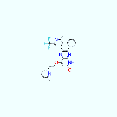 Cc1cccc(CCOc2cc(=O)[nH]c3nc(-c4ccccc4)c(-c4cc(C)nc(C(F)(F)F)c4)nc23)n1